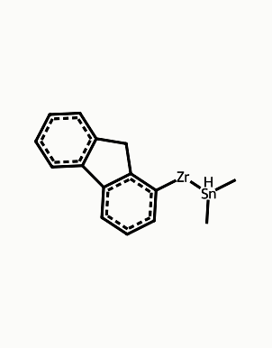 [CH3][SnH]([CH3])[Zr][c]1cccc2c1Cc1ccccc1-2